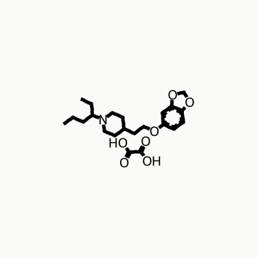 CCCC(CC)N1CCC(CCOc2ccc3c(c2)OCO3)CC1.O=C(O)C(=O)O